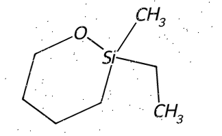 CC[Si]1(C)CCCCO1